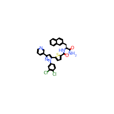 NC(=O)[C@H](Cc1ccc2ccccc2c1)NC(=O)c1ccc(-c2cc(-c3cccnc3)nn2-c2ccc(Cl)c(Cl)c2)s1